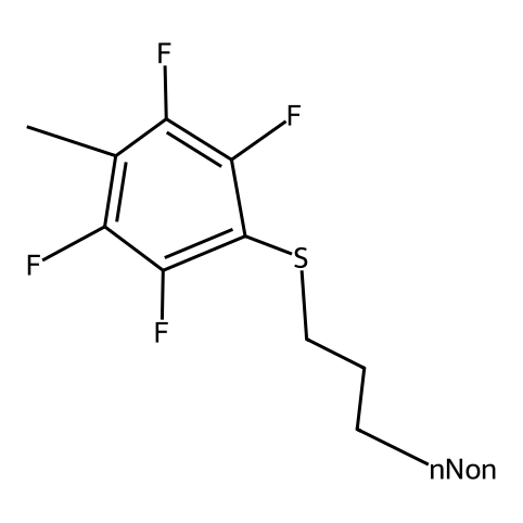 CCCCCCCCCCCCSc1c(F)c(F)c(C)c(F)c1F